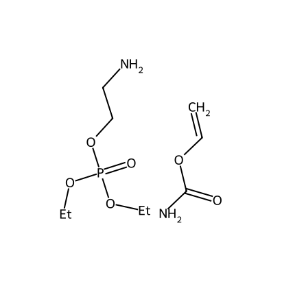 C=COC(N)=O.CCOP(=O)(OCC)OCCN